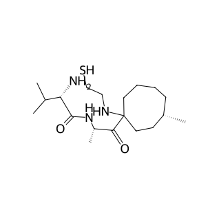 CC(C)[C@H](N)C(=O)N[C@@H](C)C(=O)C1(NCCS)CCCC[C@H](C)CC1